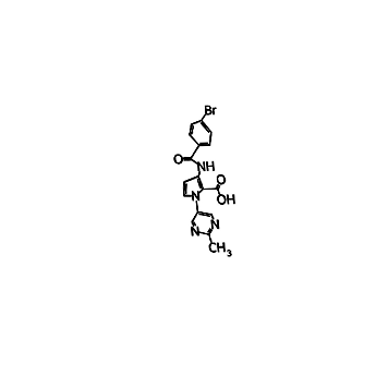 Cc1ncc(-n2ccc(NC(=O)c3ccc(Br)cc3)c2C(=O)O)cn1